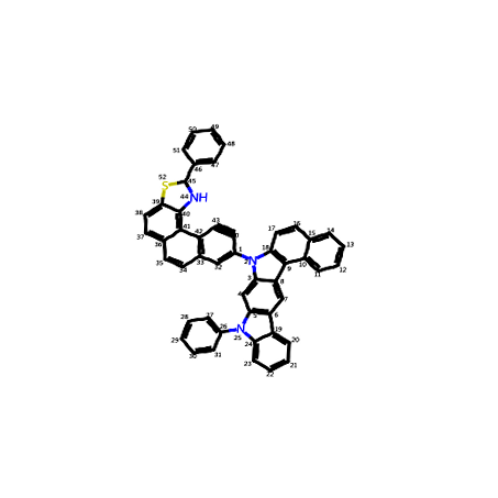 c1c(-n2c3cc4c(cc3c3c5ccccc5ccc32)c2ccccc2n4-c2ccccc2)cc2ccc3ccc4c(c3c2c#1)NC(c1ccccc1)S4